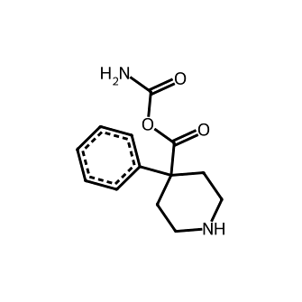 NC(=O)OC(=O)C1(c2ccccc2)CCNCC1